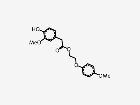 COc1ccc(OCCOC(=O)Cc2ccc(O)c(OC)c2)cc1